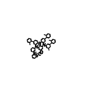 Cc1ccccc1C1=CC(N2c3cc(-c4ccccc4C)ccc3B3c4ccc(-c5ccccc5C)cc4N(c4cccc(-c5ccccc5C)c4)c4cc(OC(F)(F)F)cc2c43)=CC(C)C1